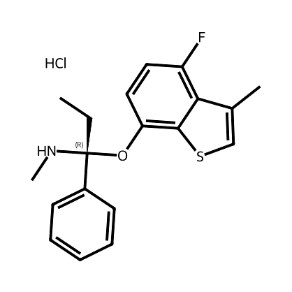 CC[C@@](NC)(Oc1ccc(F)c2c(C)csc12)c1ccccc1.Cl